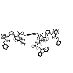 CC(C)C(=O)N[C@H](C(=O)N1CCCC1Cn1nnnc1NCc1ccccc1)[C@@H](C)OCC#CC#CCOC(C)[C@H](NC(=O)[C@H](C)N(C)C(=O)OCC1c2ccccc2-c2ccccc21)C(=O)N1CCC[C@H]1Cn1nnnc1NCc1ccccc1